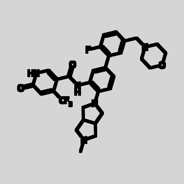 CN1CC2CN(c3ccc(-c4cc(CN5CCOCC5)ccc4F)cc3NC(=O)c3c[nH]c(=O)cc3C(F)(F)F)CC2C1